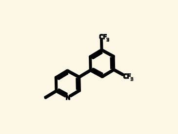 Cc1ccc(-c2cc(C(F)(F)F)cc(C(F)(F)F)c2)cn1